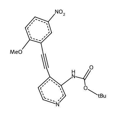 COc1ccc([N+](=O)[O-])cc1C#Cc1ccncc1NC(=O)OC(C)(C)C